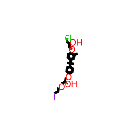 Cc1cc(C(C)(C)c2ccc(OC[C@@H](O)COCCCI)cc2)ccc1OC[C@H](O)CCl